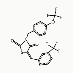 O=C1S/C(=C/c2cccc(C(F)(F)F)c2)C(=O)N1Cc1ccc(OC(F)(F)F)cc1